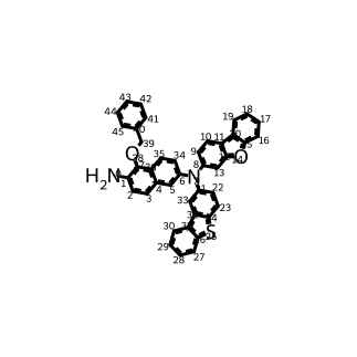 Nc1ccc2cc(N(c3ccc4c(c3)oc3ccccc34)c3ccc4sc5ccccc5c4c3)ccc2c1OCc1ccccc1